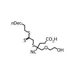 CCCCCCCCCCCCSC(=S)CSC(C#N)(CCC(=O)O)COCCO